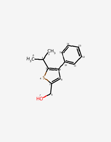 CC(C)c1sc(CO)cc1-c1ccccc1